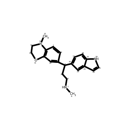 CNCCC(c1ccc2c(c1)OCCN2C)c1ccc2[nH]ccc2c1